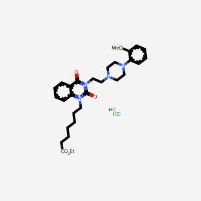 CCOC(=O)CCCCCCn1c(=O)n(CCN2CCN(c3ccccc3OC)CC2)c(=O)c2ccccc21.Cl.Cl